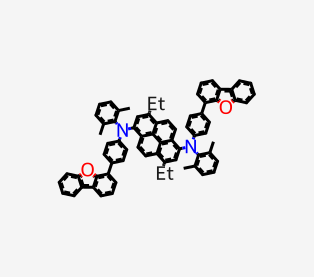 CCc1cc(N(c2ccc(-c3cccc4c3oc3ccccc34)cc2)c2c(C)cccc2C)c2ccc3c(CC)cc(N(c4ccc(-c5cccc6c5oc5ccccc56)cc4)c4c(C)cccc4C)c4ccc1c2c34